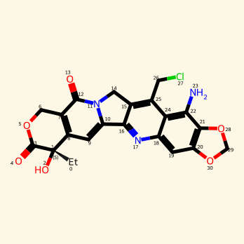 CC[C@@]1(O)C(=O)OCc2c1cc1n(c2=O)Cc2c-1nc1cc3c(c(N)c1c2CCl)OCO3